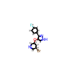 Fc1ccc(-c2n[nH]cc2Oc2cncc(Br)c2)cc1